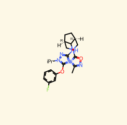 Cc1noc(N2C[C@H]3CC[C@@H](C2)C3Nc2nc(Oc3cccc(F)c3)n(C(C)C)n2)n1